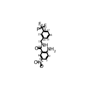 Nc1ccc([N+](=O)[O-])cc1C(=O)NCc1cccc(C(F)(F)F)c1